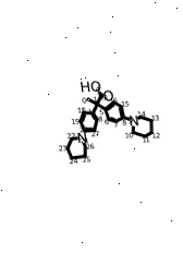 CC(C(=O)O)(c1ccc(N2CCCCC2)cc1)c1ccc(N2CCCCC2)cc1